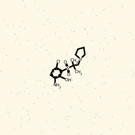 CC(C)(CN1CCCC1)S(=O)(=O)c1c(Cl)ccc(N)c1O